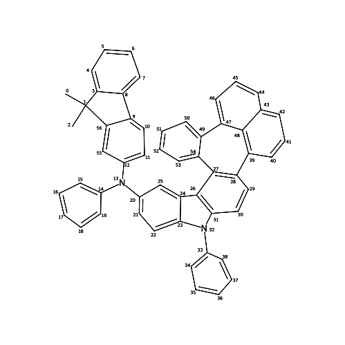 CC1(C)c2ccccc2-c2ccc(N(c3ccccc3)c3ccc4c(c3)c3c5c(ccc3n4-c3ccccc3)-c3cccc4cccc(c34)-c3ccccc3-5)cc21